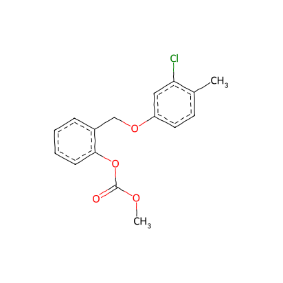 COC(=O)Oc1ccccc1COc1ccc(C)c(Cl)c1